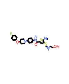 C=Nc1sc(C(=O)Nc2ccc(N3CCC(Oc4ccc(F)cc4)CC3)cc2)cc1SCN(C)CCO